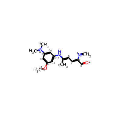 C=N/C(C=O)=C\C=C(/C)Nc1cc(OC)cc(N(C)C)c1